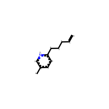 C=CCCCc1ccc(C)cn1